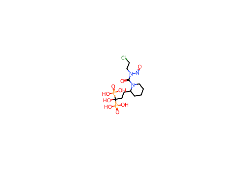 O=NN(CCCl)C(=O)N1CCCCC1CCC(O)(P(=O)(O)O)P(=O)(O)O